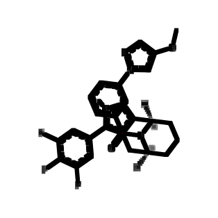 COc1cnn(-c2cccc(C(=O)N3[C@H]4CCC[C@@H]3c3nn(C)c(-c5cc(F)c(F)c(F)c5)c3C4)c2)c1